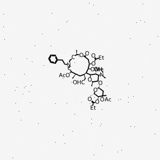 CCC(=O)O[C@@H]1CC(=O)O[C@H](C)CCN(CCc2ccccc2)C[C@H](OC(C)=O)[C@H](C)C[C@H](CC=O)[C@H]([C@@H]2O[C@H](C)[C@@H](O[C@@H]3C[C@@](C)(OC(C)=O)[C@@H](OC(=O)CC)[C@H](C)O3)[C@H](N(C)C)[C@H]2O)[C@@H]1OC